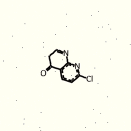 O=C1CC=Nc2nc(Cl)ccc21